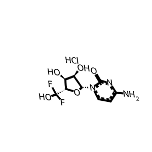 Cl.Nc1ccn([C@@H]2O[C@H](C(O)(F)F)[C@@H](O)[C@H]2O)c(=O)n1